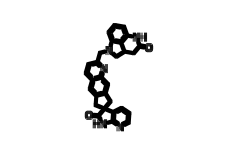 O=C1CC2CN(Cc3ccc4cc5c(cc4n3)CC3(C5)C(=O)Nc4ncccc43)c3cccc(c32)N1